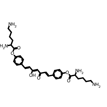 NCCCCC(N)C(=O)Oc1ccc(/C=C/C(=O)/C=C(O)/C=C/c2ccc(OC(=O)C(N)CCCCN)cc2)cc1